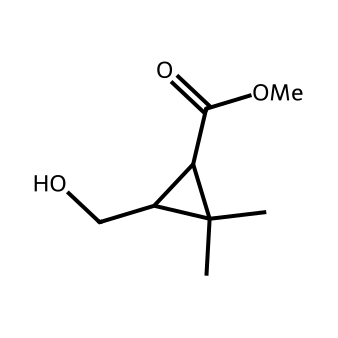 COC(=O)C1C(CO)C1(C)C